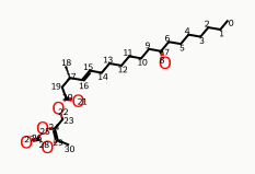 CCCCCCCC(=O)CCCCCC/C=C/[C@H](C)CC(=O)OCc1oc(=O)oc1C